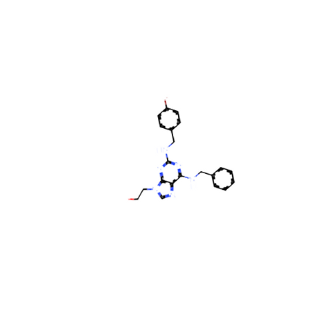 OCCn1cnc2c(NCc3ccccc3)nc(NCc3ccc(Br)cc3)nc21